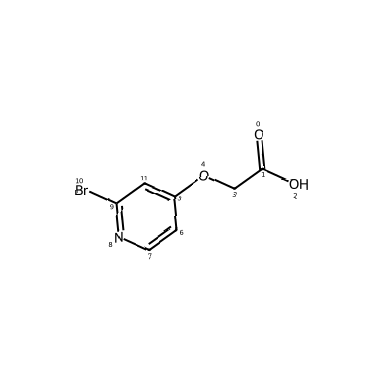 O=C(O)COc1ccnc(Br)c1